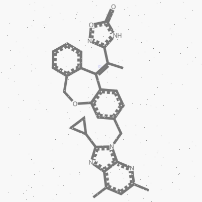 C/C(=C1/c2ccccc2COc2cc(Cn3c(C4CC4)nc4c(C)cc(C)nc43)ccc21)c1noc(=O)[nH]1